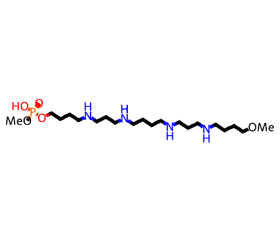 COCCCCNCCCNCCCCNCCCNCCCCOP(=O)(O)OC